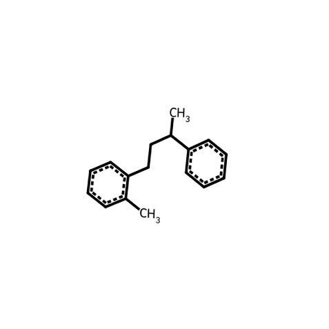 Cc1ccccc1CCC(C)c1ccccc1